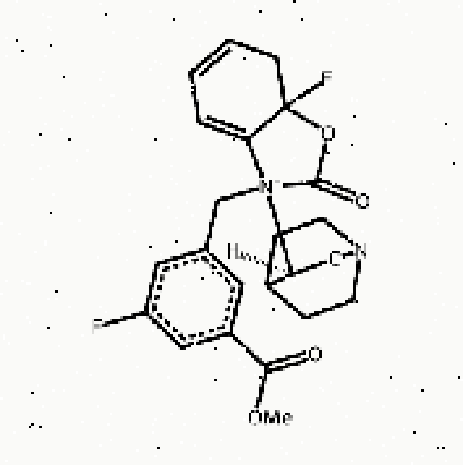 COC(=O)c1cc(F)cc(C[N+]2([C@H]3CN4CCC3CC4)C(=O)OC3(F)CC=CC=C32)c1